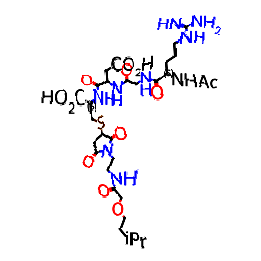 CC(=O)N[C@@H](CCCNC(=N)N)C(=O)NCC(=O)NC(CC(=O)O)C(=O)N[C@H](CSC1CC(=O)N(CCNC(=O)COCCC(C)C)C1=O)C(=O)O